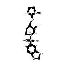 Cn1ccnc1SCC1CCN(S(=O)(=O)c2ccc3c(c2)OCO3)CC1F